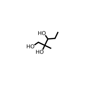 CC[C](O)C(C)(O)CO